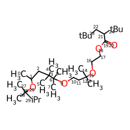 CC(CC(C)(C)C(C)(C)OCCC(C)(C)OCCOC(=O)C(CC(C)(C)C)C(C)(C)C)OC(C)(C)C(C)C